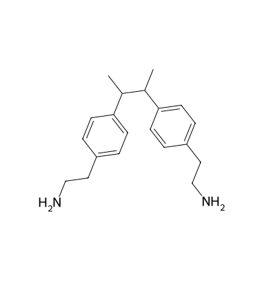 CC(c1ccc(CCN)cc1)C(C)c1ccc(CCN)cc1